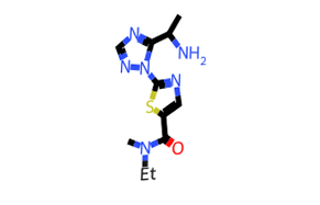 CCN(C)C(=O)c1cnc(-n2ncnc2C(C)N)s1